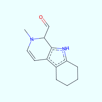 CN1C=Cc2c([nH]c3c2CCCC3)C1C=O